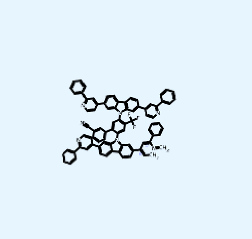 C=N/C(=C\C(=C/C)c1ccc2c3ccc(-c4ccnc(-c5ccccc5)c4)cc3n(-c3cc(C(F)(F)F)c(-n4c5cc(-c6ccnc(-c7ccccc7)c6)ccc5c5ccc(-c6ccnc(-c7ccccc7)c6)cc54)cc3-c3cccc(C#N)c3)c2c1)c1ccccc1